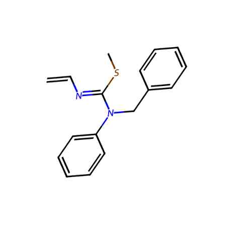 C=C/N=C(\SC)N(Cc1ccccc1)c1ccccc1